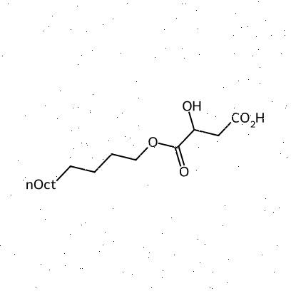 CCCCCCCCCCCCOC(=O)C(O)CC(=O)O